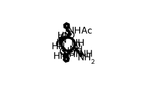 CC(=O)N[C@@H](Cc1ccccc1)C(=O)NC1CCCNC(=O)[C@H](CCCNC(=N)N)NC(=O)[C@H](Cc2c[nH]c3ccccc23)NC(=O)[C@@H](C)NC(=O)[C@@H]2CCCN2C1=O